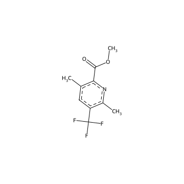 COC(=O)c1nc(C)c(C(F)(F)F)cc1C